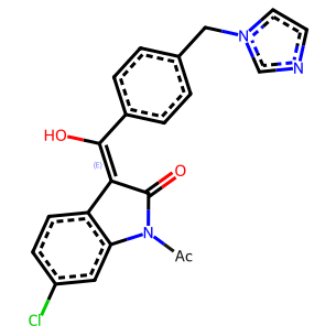 CC(=O)N1C(=O)/C(=C(/O)c2ccc(Cn3ccnc3)cc2)c2ccc(Cl)cc21